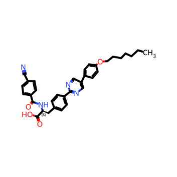 CCCCCCCOc1ccc(-c2cnc(-c3ccc(C[C@H](NC(=O)c4ccc(C#N)cc4)C(=O)O)cc3)nc2)cc1